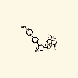 CCCN1CCN(c2ccc(C(=O)N[C@@H](CC(C)(C)C)C(=O)N3C[C@@H](CC)[C@H]4OCC(=O)[C@H]43)cc2)CC1